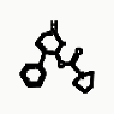 O=C(OC1[C]NCC=C1c1ccccc1)N1CCCC1